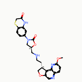 COc1ccc2ncc3c(c2n1)[C@@H](CCNC[C@H]1CN(c2ccc4c(c2)NC(=O)CS4)C(=O)O1)CO3